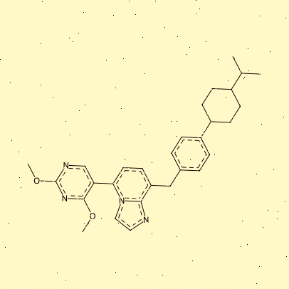 COc1ncc(-c2ccc(Cc3ccc(C4CCC(C(C)C)CC4)cc3)c3nccn23)c(OC)n1